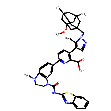 COC12CC3(C)CC(C)(CC(Cn4ncc(-c5ccc(-c6ccc7c(c6)N(C(=O)Nc6nc8ccccc8s6)CCN7C)nc5C(O)O)c4C)(C3)C1)C2